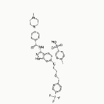 CN1CCN(c2ccc(C(=O)Nc3n[nH]c4cc(OCCOCc5ccc(C(F)(F)F)cc5)ccc34)cc2)CC1.Cc1ccc(S(=O)(=O)O)cc1